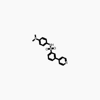 CN(C)c1ccc(NS(=O)(=O)c2cccc(-c3ccncc3)c2)cc1